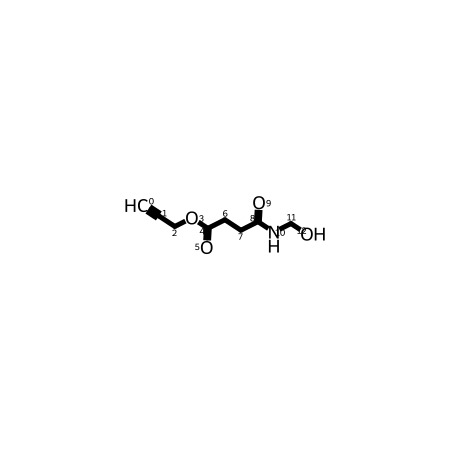 C#CCOC(=O)CCC(=O)NCO